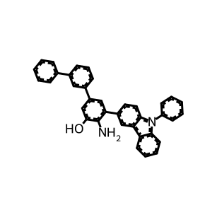 Nc1c(O)cc(-c2cccc(-c3ccccc3)c2)cc1-c1ccc2c(c1)c1ccccc1n2-c1ccccc1